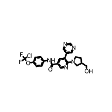 O=C(Nc1ccc(OC(F)(F)Cl)cc1)c1cnc(N2CCC(CO)C2)c(-c2cncnc2)c1